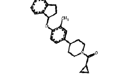 Cc1cc(C2CCN(C(=O)C3CC3)CC2)ccc1OC1CCc2ccc[c]c21